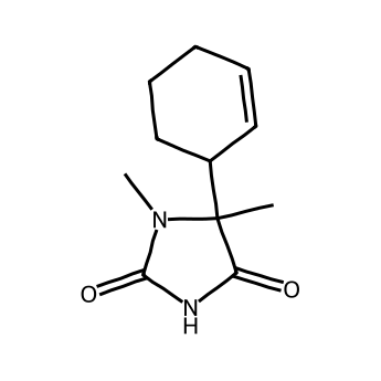 CN1C(=O)NC(=O)C1(C)C1C=CCCC1